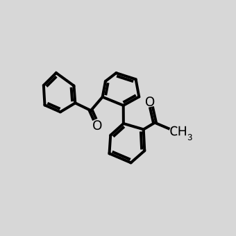 CC(=O)c1ccccc1-c1ccccc1C(=O)c1ccccc1